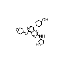 O[C@H]1CC[C@H](c2cnc(OC3CCOCC3)c3cnc(N[C@H]4CCNC4)nc32)CC1